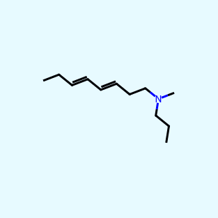 CCC=CC=CCCN(C)CCC